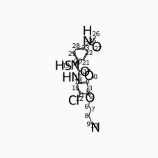 COc1cc(OCCCC#N)c(Cl)cc1NC(=O)N(S)c1ccc(NC(C)=O)cc1